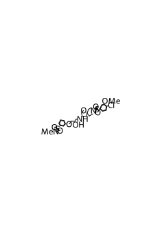 CNS(=O)(=O)c1cccc(OCC(O)CNC2COC3(CCN(S(=O)(=O)c4ccc(Cl)c(OC)c4)CC3)C2)c1